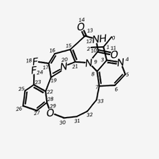 CC(C)c1nccc2c1-n1c(=O)[nH]c(=O)c3cc(F)c(nc31)-c1c(F)cccc1OCCCC2